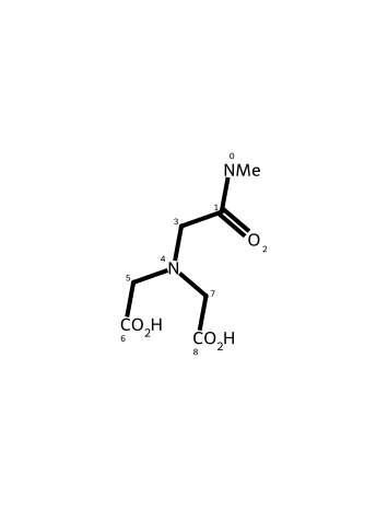 CNC(=O)CN(CC(=O)O)CC(=O)O